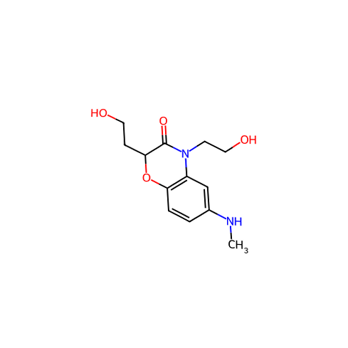 CNc1ccc2c(c1)N(CCO)C(=O)C(CCO)O2